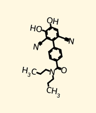 CCCN(CCC)C(=O)c1ccc(-c2c(C#N)cc(O)c(O)c2C#N)cc1